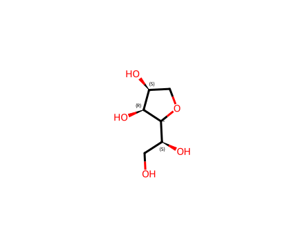 OC[C@H](O)[C]1OC[C@H](O)[C@@H]1O